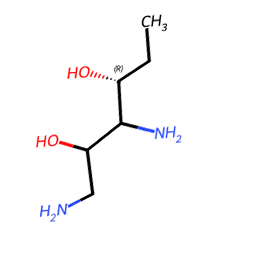 CC[C@@H](O)C(N)C(O)CN